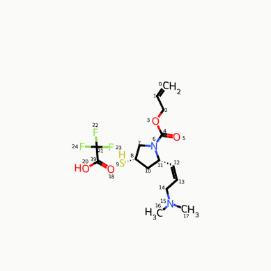 C=CCOC(=O)N1C[C@@H](S)C[C@H]1/C=C\CN(C)C.O=C(O)C(F)(F)F